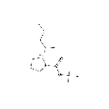 CCCC(C)[C@H]1CCCN1C(=O)OC(C)(C)C